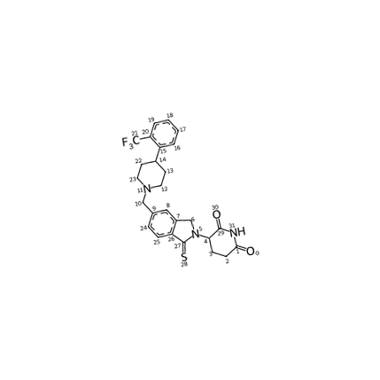 O=C1CCC(N2Cc3cc(CN4CCC(c5ccccc5C(F)(F)F)CC4)ccc3C2=S)C(=O)N1